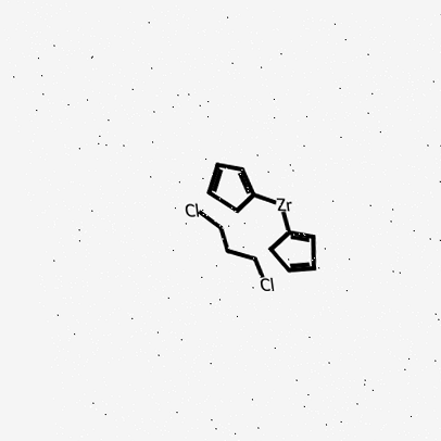 C1=CC[C]([Zr][C]2=CC=CC2)=C1.ClCCCCl